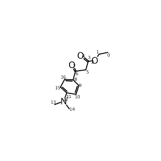 CCOC(=O)CC(=O)c1ccc(N(C)C)cc1